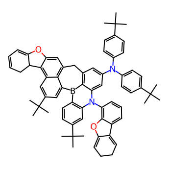 CC(C)(C)c1ccc(N(c2ccc(C(C)(C)C)cc2)c2cc3c4c(c2)N(c2cccc5c6c(oc25)=CCCC=6)c2cc(C(C)(C)C)ccc2B4c2cc(C(C)(C)C)cc4c5c(cc(c24)C3)OC2=CC=CCC25)cc1